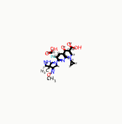 CO/N=C1/CN(c2nc3c(cc2F)c(=O)c(C(=O)O)cn3C2CC2)C[C@@]1(C)CN.O=CO